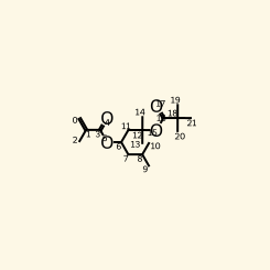 C=C(C)C(=O)OC(CC(C)C)CC(C)(C)OC(=O)C(C)(C)C